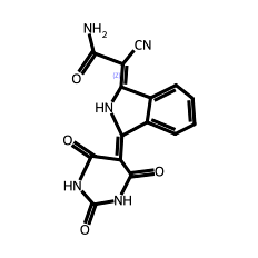 N#C/C(C(N)=O)=c1/[nH]c(=C2C(=O)NC(=O)NC2=O)c2ccccc12